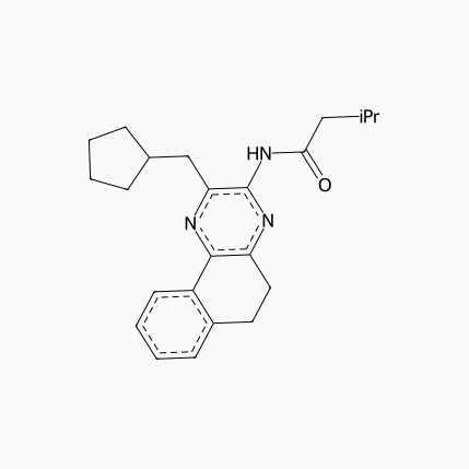 CC(C)CC(=O)Nc1nc2c(nc1CC1CCCC1)-c1ccccc1CC2